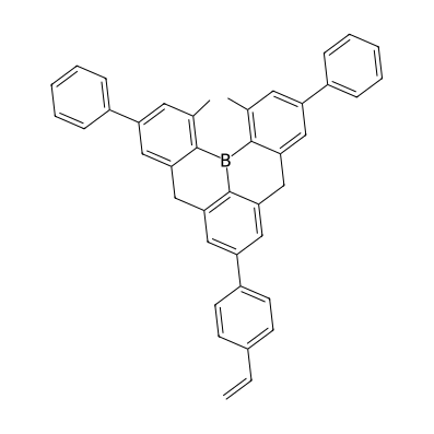 C=Cc1ccc(-c2cc3c4c(c2)Cc2cc(-c5ccccc5)cc(C)c2B4c2c(C)cc(-c4ccccc4)cc2C3)cc1